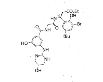 CCOC(=O)C[C@H](NC(=O)CNC(=O)c1cc(O)cc(NC2=NCC(O)CN2)c1)c1cc(C(C)(C)C)cc(Br)c1O